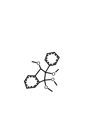 COC1c2ccccc2C(OC)(OC)C1(OC)c1ccccc1